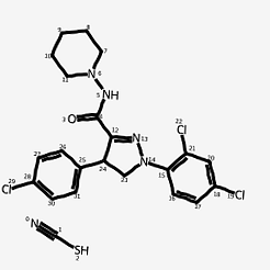 N#CS.O=C(NN1CCCCC1)C1=NN(c2ccc(Cl)cc2Cl)CC1c1ccc(Cl)cc1